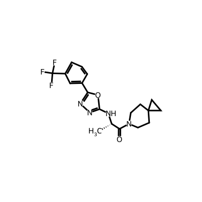 C[C@H](Nc1nnc(-c2cccc(C(F)(F)F)c2)o1)C(=O)N1CCC2(CC1)CC2